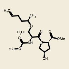 C=CCC[C@@H](C)O[C@@H](C)[C@H](NC(=O)OC(C)(C)C)C(=O)N1C[C@H](O)C[C@H]1C(=O)OC